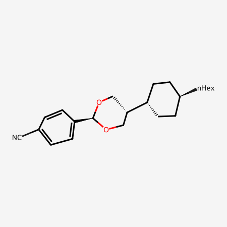 CCCCCC[C@H]1CC[C@H]([C@H]2CO[C@H](c3ccc(C#N)cc3)OC2)CC1